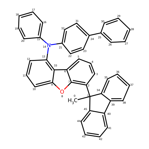 CC1(c2cccc3c2oc2cccc(N(c4ccccc4)c4ccc(-c5ccccc5)cc4)c23)c2ccccc2-c2ccccc21